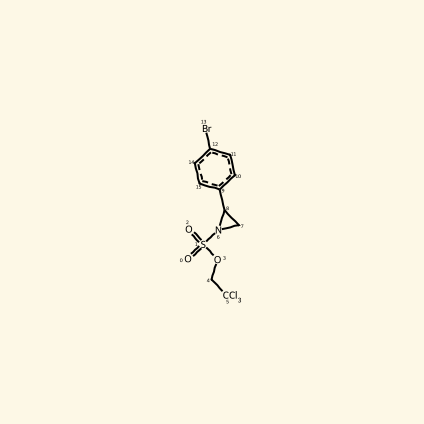 O=S(=O)(OCC(Cl)(Cl)Cl)N1CC1c1ccc(Br)cc1